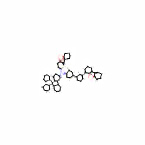 c1ccc(C2(c3ccccc3)c3ccccc3-c3cc(N(c4ccc(-c5cccc(-c6cccc7c6oc6ccccc67)c5)cc4)c4ccc5oc6ccccc6c5c4)ccc32)cc1